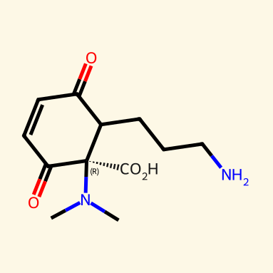 CN(C)[C@@]1(C(=O)O)C(=O)C=CC(=O)C1CCCN